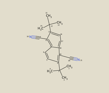 CC(C)(C)c1ccc2c(C#N)c(C(C)(C)C)ccc2c1C#N